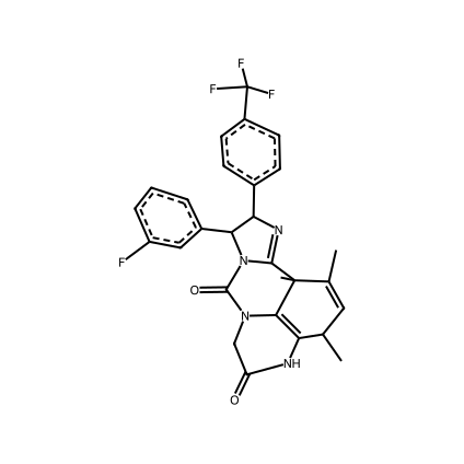 CC1=CC(C)C2=C3N(CC(=O)N2)C(=O)N2C(=NC(c4ccc(C(F)(F)F)cc4)C2c2cccc(F)c2)C13C